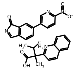 CC(C)C(C)(C(=O)O)c1ccc2ccccc2n1.O=C1N=Cc2ccc(-c3ccc([N+](=O)[O-])nc3)cc21